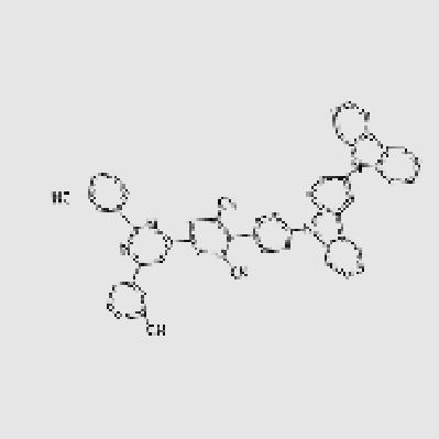 N#Cc1cccc(-c2cc(-c3cc(C#N)c(-c4ccc(-n5c6ccccc6c6cc(-n7c8ccccc8c8ccccc87)ccc65)cc4)c(C#N)c3)nc(-c3cccc(C#N)c3)n2)c1